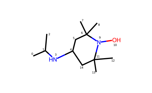 CC(C)NC1CC(C)(C)N(O)C(C)(C)C1